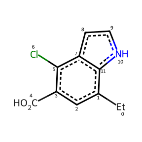 CCc1cc(C(=O)O)c(Cl)c2cc[nH]c12